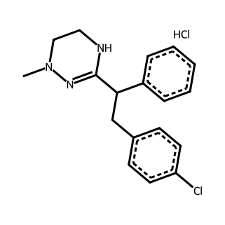 CN1CCNC(C(Cc2ccc(Cl)cc2)c2ccccc2)=N1.Cl